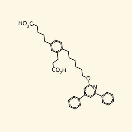 O=C(O)CCCCc1ccc(CCCCCCOc2cc(-c3ccccc3)cc(-c3ccccc3)n2)c(CCC(=O)O)c1